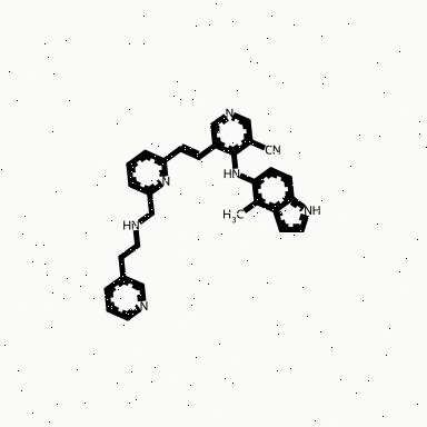 Cc1c(Nc2c(C#N)cncc2C=Cc2cccc(CNCCc3cccnc3)n2)ccc2[nH]ccc12